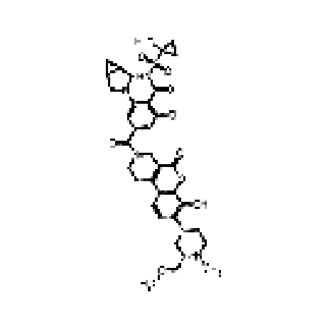 COC[C@H]1CN(c2ccc3c4c(c(=O)oc3c2C)CN(C(=O)c2cc(Cl)c(C(=O)NS(=O)(=O)C3(C)CC3)c(N3CC5CC5C3)c2)CC4)CCN1C